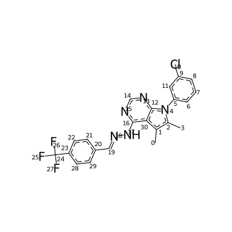 Cc1c(C)n(-c2cccc(Cl)c2)c2ncnc(NN=Cc3ccc(C(F)(F)F)cc3)c12